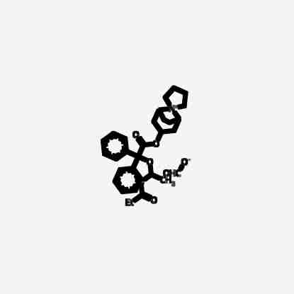 CCC(=O)OC(C)OC(C(=O)OC1CC2CCC(C1)[N+]21CCCC1)(c1ccccc1)c1ccccc1.O=C[O-]